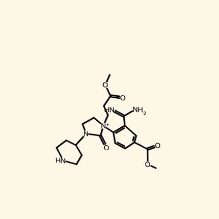 COC(=O)CC[N+]1(c2ccc(C(=O)OC)cc2C(=N)N)CCN(C2CCNCC2)C1=O